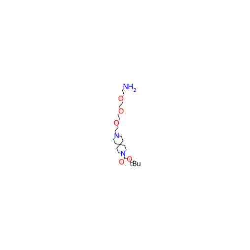 CC(C)(C)OC(=O)N1CCC2(CCN(CCOCCOCCOCCN)CC2)CC1